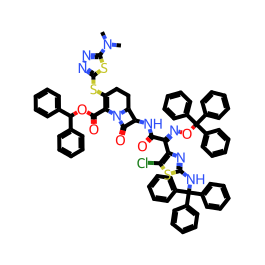 CN(C)c1nnc(SC2=C(C(=O)OC(c3ccccc3)c3ccccc3)N3C(=O)C(NC(=O)C(=NOC(c4ccccc4)(c4ccccc4)c4ccccc4)c4nc(NC(c5ccccc5)(c5ccccc5)c5ccccc5)sc4Cl)C3CC2)s1